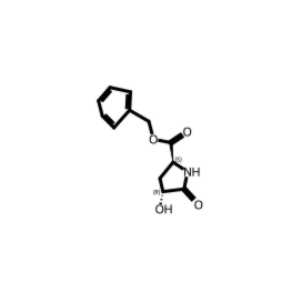 O=C1N[C@H](C(=O)OCc2ccccc2)C[C@H]1O